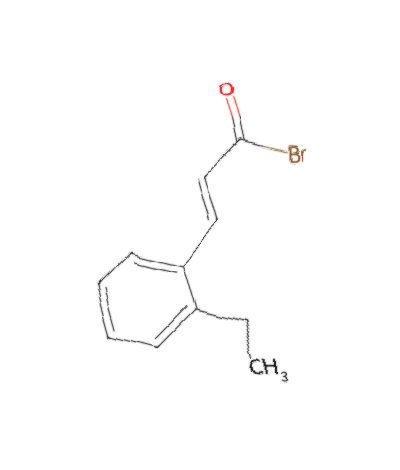 CCc1ccccc1C=CC(=O)Br